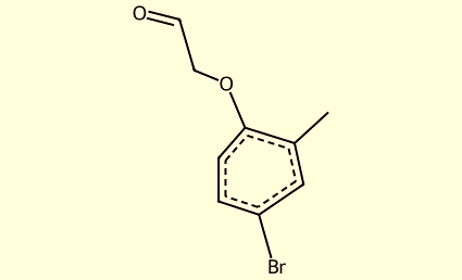 Cc1cc(Br)ccc1OCC=O